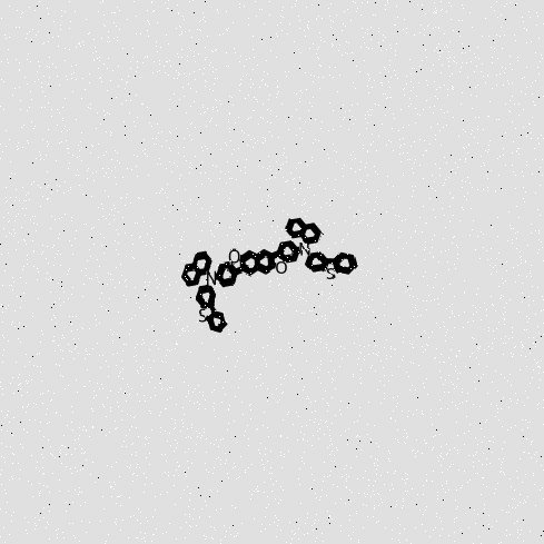 c1ccc2c(N(c3ccc4c(c3)oc3cc5cc6c(cc5cc34)oc3cc(N(c4ccc5sc7ccccc7c5c4)c4cccc5ccccc45)ccc36)c3ccc4sc5ccccc5c4c3)cccc2c1